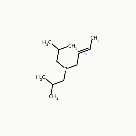 C/C=C/CP(CC(C)C)CC(C)C